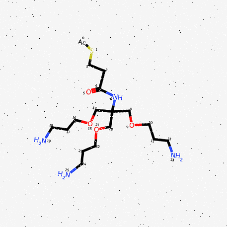 CC(=O)SCCC(=O)NC(COCCCN)(COCCCN)COCCCN